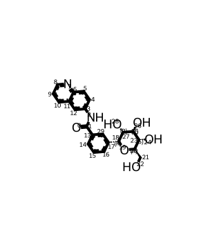 O=C(Nc1ccc2ncccc2c1)c1cccc([C@H]2O[C@H](CO)[C@@H](O)[C@H](O)[C@H]2O)c1